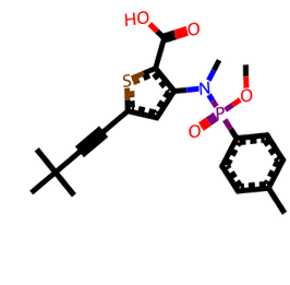 COP(=O)(c1ccc(C)cc1)N(C)c1cc(C#CC(C)(C)C)sc1C(=O)O